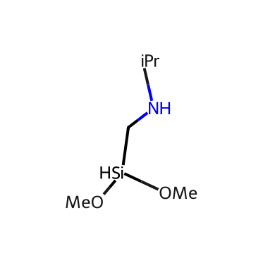 CO[SiH](CNC(C)C)OC